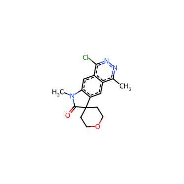 Cc1nnc(Cl)c2cc3c(cc12)C1(CCOCC1)C(=O)N3C